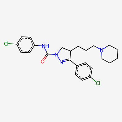 O=C(Nc1ccc(Cl)cc1)N1CC(CCCN2CCCCC2)C(c2ccc(Cl)cc2)=N1